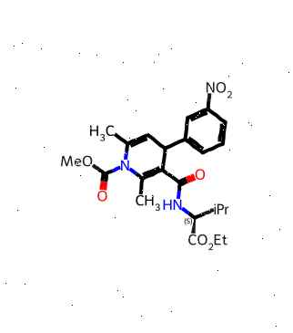 CCOC(=O)[C@@H](NC(=O)C1=C(C)N(C(=O)OC)C(C)=CC1c1cccc([N+](=O)[O-])c1)C(C)C